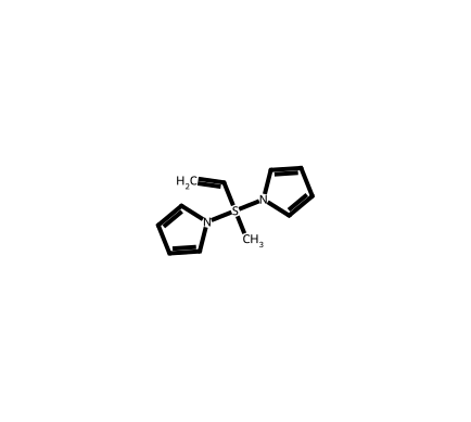 C=CS(C)(n1cccc1)n1cccc1